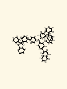 c1ccc2c(c1)CC1(C2)c2ccccc2-c2ccc(-c3ccc(N(c4ccc(-c5ccc6ccccc6c5)cc4)c4ccc5c(c4)C4(c6ccccc6-5)C5CC6CC(C5)CC4C6)cc3)cc21